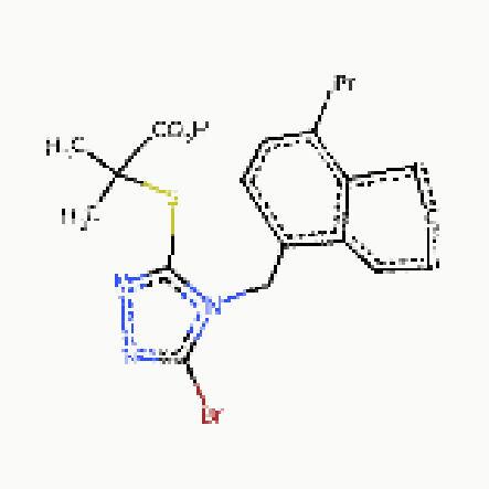 CC(C)c1ccc(Cn2c(Br)nnc2SC(C)(C)C(=O)O)c2ccccc12